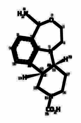 NC1OCCN2c3c1cccc3[C@@H]1CN(C(=O)O)CC[C@@H]12